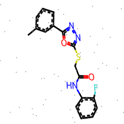 Cc1cccc(-c2nnc(SCC(=O)Nc3ccccc3F)o2)c1